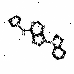 c1ccc2c(c1)ccn2-n1cnc2c(Nn3cccc3)ncnc21